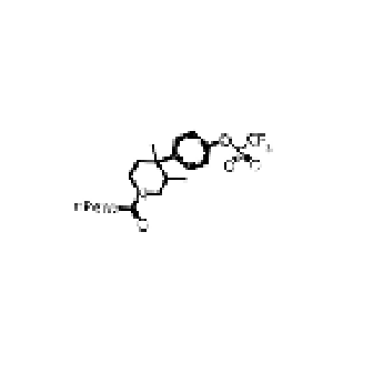 CCCCCC(=O)N1CCC(C)(c2ccc(OS(=O)(=O)C(F)(F)F)cc2)C(C)C1